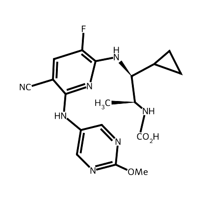 COc1ncc(Nc2nc(N[C@@H](C3CC3)[C@H](C)NC(=O)O)c(F)cc2C#N)cn1